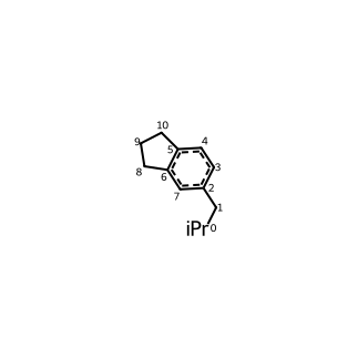 CC(C)Cc1ccc2c(c1)CCC2